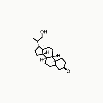 CC(CO)[C@H]1CC[C@H]2[C@@H]3CCC4CC(=O)CC[C@]4(C)[C@H]3CC[C@]12C